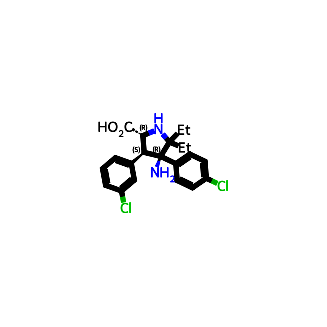 CCC1(CC)N[C@@H](C(=O)O)[C@H](c2cccc(Cl)c2)[C@@]1(N)c1ccc(Cl)cc1